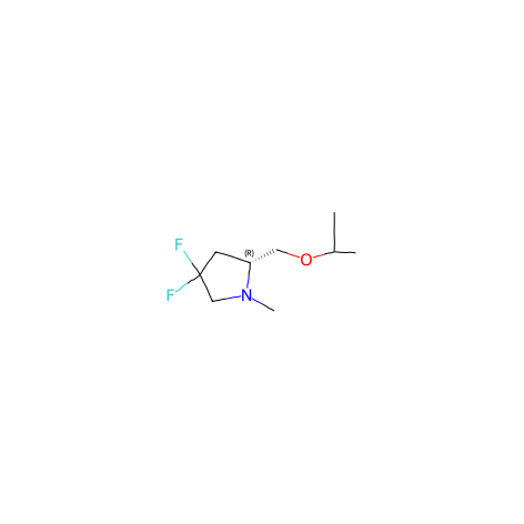 CC(C)OC[C@H]1CC(F)(F)CN1C